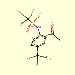 CC(=O)c1cc(C(F)(F)F)ccc1NS(=O)(=O)C(F)(F)F